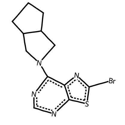 Brc1nc2c(N3CC4CCCC4C3)ncnc2s1